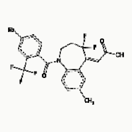 Cc1ccc2c(c1)/C(=C/C(=O)O)C(F)(F)CCN2C(=O)c1cc[c]([Rb])cc1C(F)(F)F